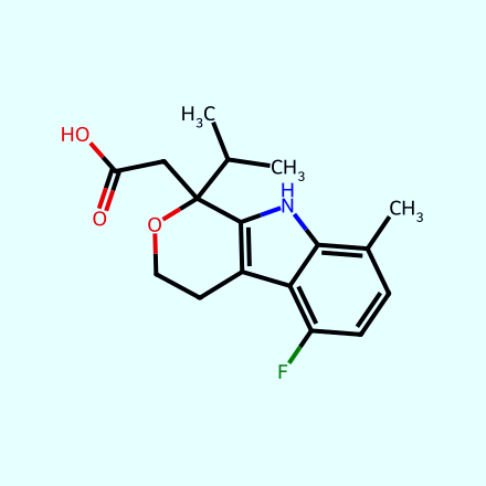 Cc1ccc(F)c2c3c([nH]c12)C(CC(=O)O)(C(C)C)OCC3